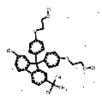 CCOCCOc1ccc(C2(c3ccc(OCCOCC)cc3)c3cc(C(C)(C)C)ccc3-c3ccc(C(C)(C)CC)cc32)cc1